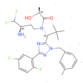 Cc1cccc(Cn2nc(-c3cc(F)ccc3F)nc2[C@H](N(CC[C@@H](N)C(F)F)C(=O)[C@H](C)O)C(C)(C)C)c1